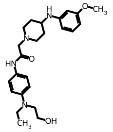 CCN(CCO)c1ccc(NC(=O)CN2CCC(Nc3cccc(OC)c3)CC2)cc1